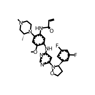 C=CC(=O)Nc1cc(Nc2cc(N3OCC[C@@H]3c3cc(F)cc(F)c3)ncn2)c(OC)cc1N1CCN(C)C[C@H]1C